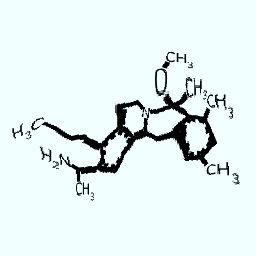 CC/C=c1/c2c(cc/c1=C(\C)N)=C1c3cc(C)cc(C)c3C(C)(OC)N1CC=2